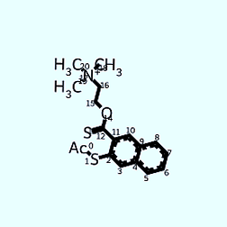 CC(=O)Sc1cc2ccccc2cc1C(=S)OCC[N+](C)(C)C